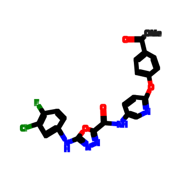 COC(=O)c1ccc(Oc2ccc(NC(=O)c3nnc(Nc4ccc(F)c(Cl)c4)o3)cn2)cc1